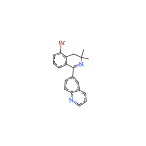 CC1(C)Cc2c(Br)cccc2C(c2ccc3ncccc3c2)=N1